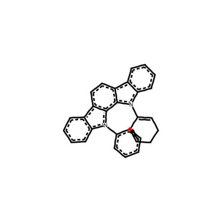 C1=CC(n2c3ccccc3c3ccc4c5ccccc5n(-c5ccccc5)c4c32)=CCC1